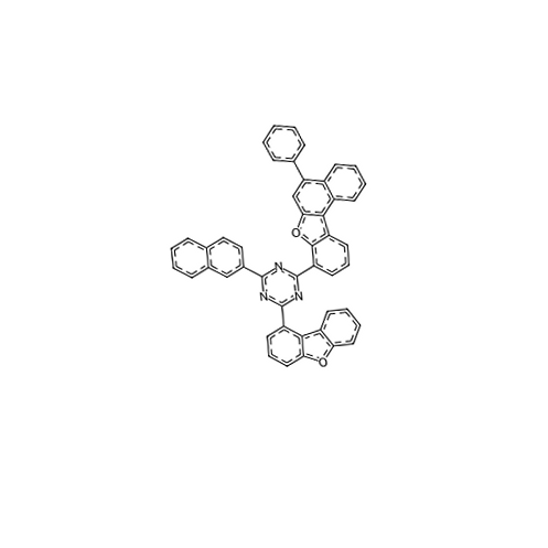 c1ccc(-c2cc3oc4c(-c5nc(-c6ccc7ccccc7c6)nc(-c6cccc7oc8ccccc8c67)n5)cccc4c3c3ccccc23)cc1